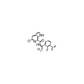 C[C@@H](NC(=O)c1nc(Cl)cc2cc[nH]c12)c1cccc(C(F)F)c1F